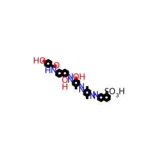 Cc1cc(N=Nc2cc(O)c(N=Nc3ccc4cc(NC(=O)c5ccc(O)cc5)ccc4c3O)cc2C)c(C)cc1N=Nc1ccc2cccc(S(=O)(=O)O)c2c1